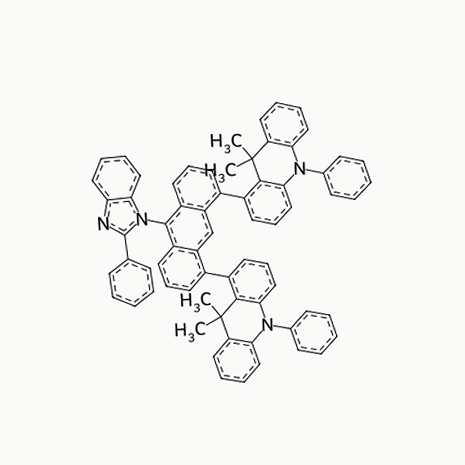 CC1(C)c2ccccc2N(c2ccccc2)c2cccc(-c3cccc4c(-n5c(-c6ccccc6)nc6ccccc65)c5cccc(-c6cccc7c6C(C)(C)c6ccccc6N7c6ccccc6)c5cc34)c21